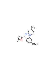 COc1ccc(C(N)c2ccc(C)o2)c(N2CCC(C(F)(F)F)CC2)c1